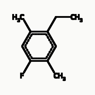 CCc1cc(C)c(F)cc1C